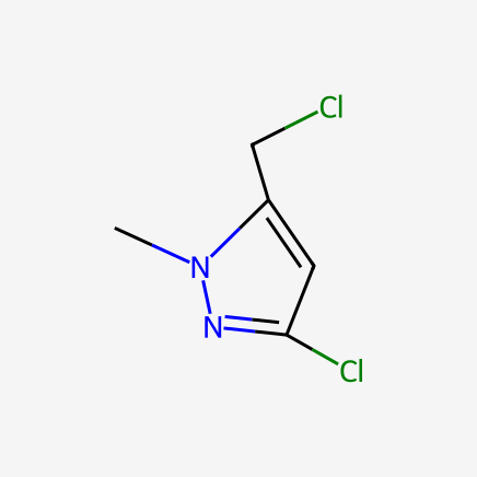 Cn1nc(Cl)cc1CCl